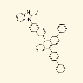 CCc1nc2ccccc2n1-c1ccc2cc(-c3c4ccccc4c(-c4ccc(-c5ccccc5)cc4)c4ccc(-c5ccccc5)cc34)ccc2c1